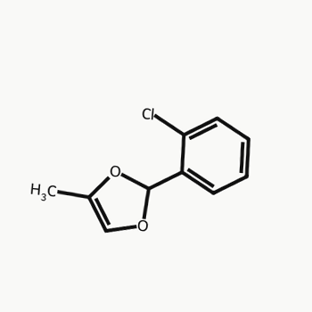 CC1=COC(c2ccccc2Cl)O1